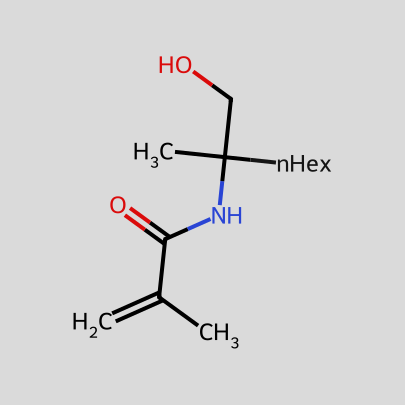 C=C(C)C(=O)NC(C)(CO)CCCCCC